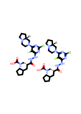 O=C(O)NC[C@@H](CC1CCCC1)C(=O)NNc1nc(Cl)nc(N2CCN3CCC[C@@H]3C2)c1F.O=C(O)NC[C@@H](CC1CCCC1)C(=O)NNc1nc(Cl)nc(N2CCN3CCC[C@@H]3C2)c1F